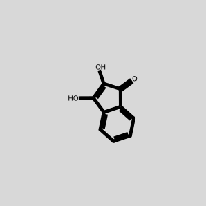 O=C1C(O)=C(O)c2ccccc21